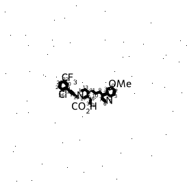 COc1ccc2nccc(CCC[C@@H]3CCN(CC#Cc4cc(C(F)(F)F)ccc4Cl)C[C@@H]3CCC(=O)O)c2c1